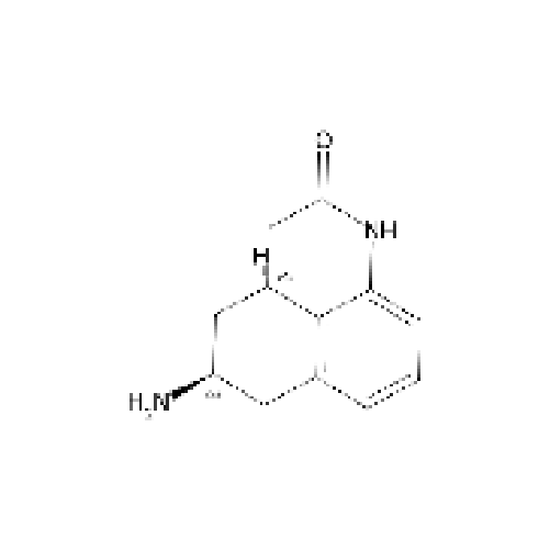 N[C@@H]1Cc2cccc3c2[C@H](CC(=O)N3)C1